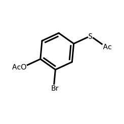 CC(=O)Oc1ccc(SC(C)=O)cc1Br